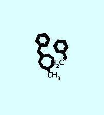 C=Cc1ccccc1.CC1CCCC(=Cc2ccccc2)CC1